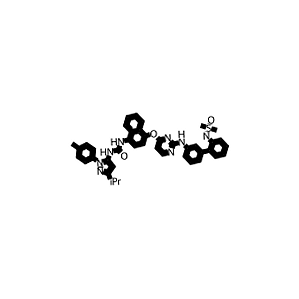 Cc1ccc(-n2nc(C(C)C)cc2NC(=O)Nc2ccc(Oc3ccnc(Nc4cccc(-c5ccccc5N=S(C)(C)=O)c4)n3)c3ccccc23)cc1